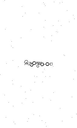 CC1CCC[C@H](C)N1Cc1ccc2cc(NC(=O)c3ccc(-c4ccc(Cl)cc4)cc3)ccc2n1